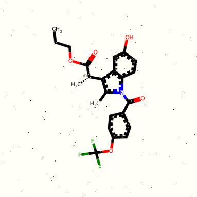 CCCOC(=O)[C@@H](C)c1c(C)n(C(=O)c2ccc(OC(F)(F)F)cc2)c2ccc(O)cc12